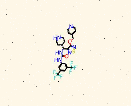 O=C(Nc1cc(C(F)(F)F)cc(C(F)(F)F)c1)NC(c1nsnc1OCc1ccncc1)C1CCNCC1